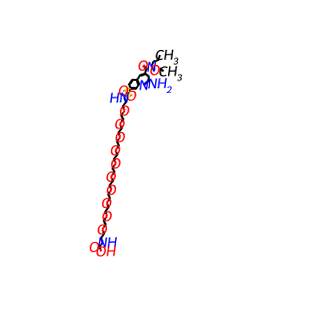 CCCN(OCC)C(=O)C1=Cc2ccc(S(=O)(=O)NCCOCCOCCOCCOCCOCCOCCOCCOCCOCCOCCNC(=O)O)cc2N=C(N)C1